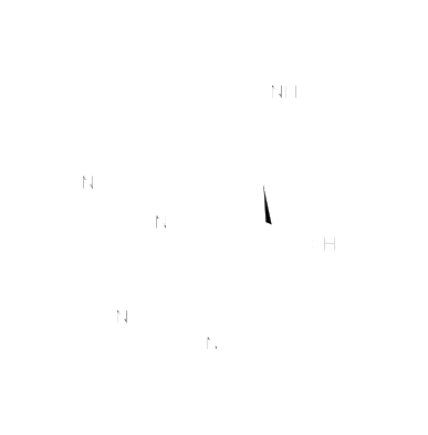 CC[C@@H]1CNCC1c1cnc2cnc3c(n12)CC=N3